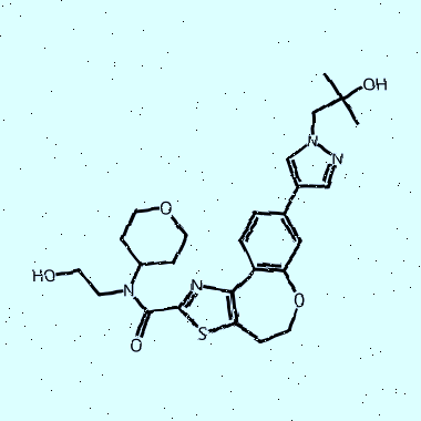 CC(C)(O)Cn1cc(-c2ccc3c(c2)OCCc2sc(C(=O)N(CCO)C4CCOCC4)nc2-3)cn1